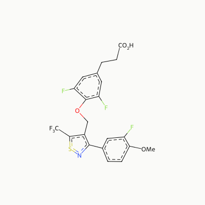 COc1ccc(-c2nsc(C(F)(F)F)c2COc2c(F)cc(CCC(=O)O)cc2F)cc1F